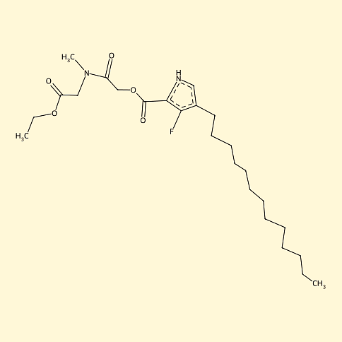 CCCCCCCCCCCCCc1c[nH]c(C(=O)OCC(=O)N(C)CC(=O)OCC)c1F